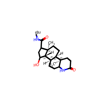 CC(C)(C)NC(=O)C1CC(O)[C@H]2[C@@H]3CCC4NC(=O)CC[C@]4(C)[C@@H]3CC[C@]12C